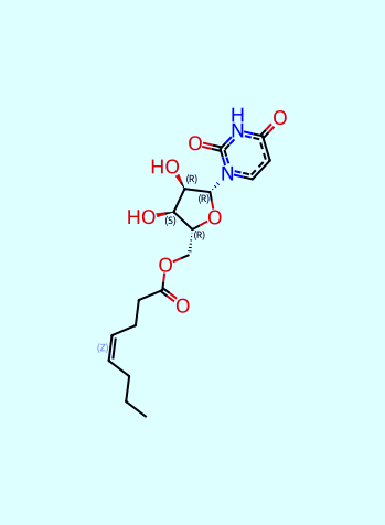 CCC/C=C\CCC(=O)OC[C@H]1O[C@@H](n2ccc(=O)[nH]c2=O)[C@H](O)[C@@H]1O